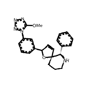 COc1nnnn1-c1cccc(C2C=C[C@@]3(CCCN[C@H]3c3ccccc3)O2)c1